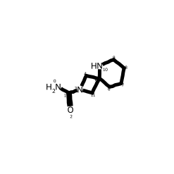 NC(=O)N1CC2(CCCCN2)C1